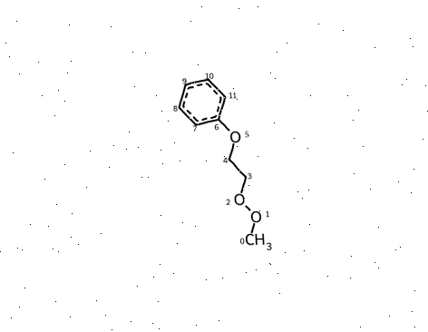 COOCCOc1ccccc1